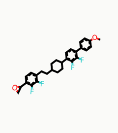 COc1ccc(-c2ccc(C3CCC(CCc4ccc(C5CO5)c(F)c4F)CC3)c(F)c2F)cc1